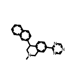 CN1Cc2cc(-c3ncncn3)ccc2C(c2ccc3ccccc3c2)C1